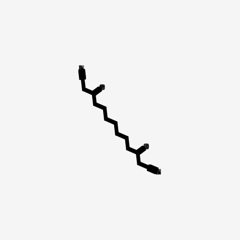 N#CCC(=O)CCCCCCCC(=O)CC#N